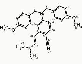 COc1ccc(CN(Cc2ccc(OC)cc2)c2cc(C=CN(C)C)c(C#N)cn2)cc1